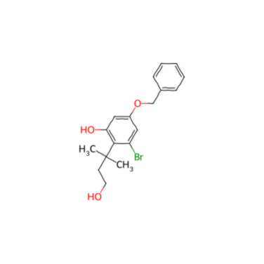 CC(C)(CCO)c1c(O)cc(OCc2ccccc2)cc1Br